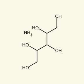 N.OCC(O)C(O)C(O)CO